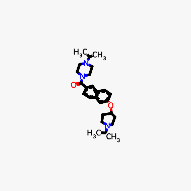 CC(C)N1CCC(Oc2ccc3cc(C(=O)N4CCN(C(C)C)CC4)ccc3c2)CC1